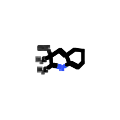 CC1=NC2=CCCCC2=CC1(C)C=O